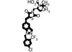 CC1(C)OC[C@@H](CN2C(=O)SC(=Cc3ccc4c(cnn4Cc4ccc(Cl)cc4C(F)(F)F)c3)C2=O)N1C(=O)O